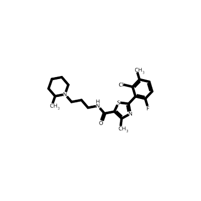 Cc1ccc(F)c(-c2nc(C)c(C(=O)NCCCN3CCCCC3C)s2)c1Cl